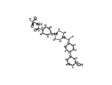 CC(c1ccc(-c2cncc(O)c2)cc1)N1CCN(c2ccc(C(=O)NS(C)(=O)=O)cc2)CC1